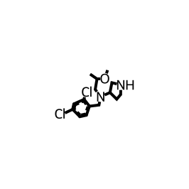 COC(C)CN(Cc1ccc(Cl)cc1Cl)C1CCNC1